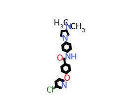 CN(C)C1CCN(c2ccc(NC(=O)c3ccc(Oc4ccc(Cl)cn4)cc3)cc2)C1